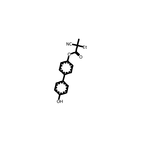 CCC(C)(C#N)C(=O)Oc1ccc(-c2ccc(O)cc2)cc1